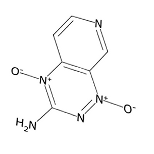 Nc1n[n+]([O-])c2cnccc2[n+]1[O-]